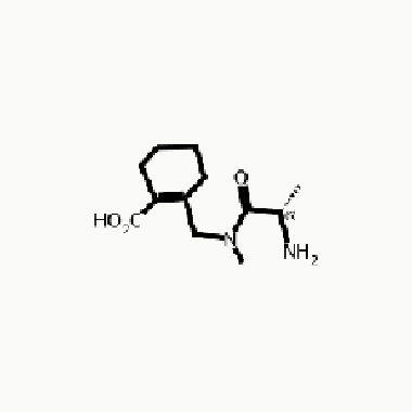 C[C@H](N)C(=O)N(C)CC1=C(C(=O)O)CCCC1